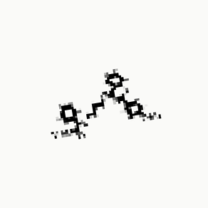 COC(=O)C(OCCCCOc1nc(-c2ccc(OC)cc2)nc2ccccc12)c1ccccc1